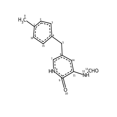 Cc1ccc(Cc2c[nH]c(=O)c(NC=O)c2)cc1